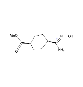 COC(=O)[C@H]1CC[C@@H](/C(N)=N/O)CC1